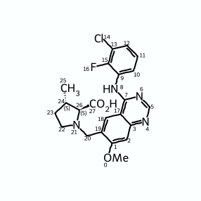 COc1cc2ncnc(Nc3cccc(Cl)c3F)c2cc1CN1CC[C@H](C)[C@H]1C(=O)O